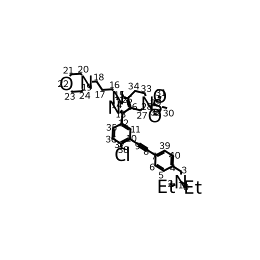 CCN(CC)Cc1ccc(C#Cc2cc(-c3nn(CCCN4CCOCC4)c4c3CN(S(C)(=O)=O)CC4)ccc2Cl)cc1